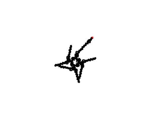 C=CCCOCCCCCCCCCCCCOc1ccc(C2=C3C=CC(=N3)C(c3cc(OCCCCCCCCCC)cc(OCCCCCCCCCC)c3)=C3C=CC(=N3)C(c3cc(OCCCCCCCCCC)cc(OCCCCCCCCCC)c3)=C3C=CC(=N3)C(c3cc(OCCCCCCCCCC)cc(OCCCCCCCCCC)c3)=C3C=CC2=N3)cc1